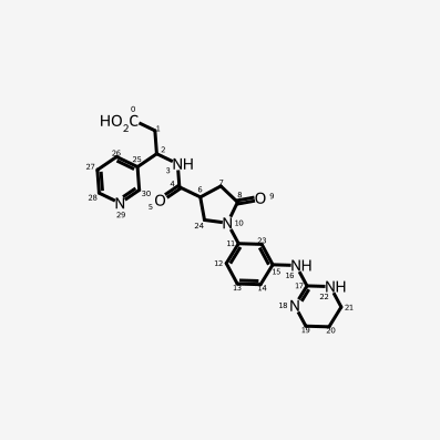 O=C(O)CC(NC(=O)C1CC(=O)N(c2cccc(NC3=NCCCN3)c2)C1)c1cccnc1